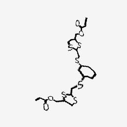 C=CC(=O)OCC1CSC(CSC2CCCC(SCC3SCC(COC(=O)C=C)S3)C2)S1